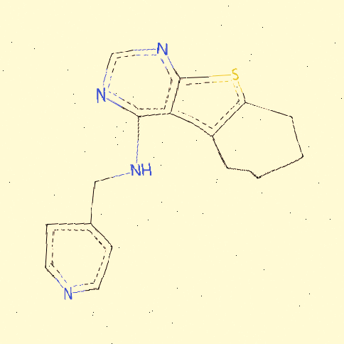 c1cc(CNc2ncnc3sc4c(c23)CCCC4)ccn1